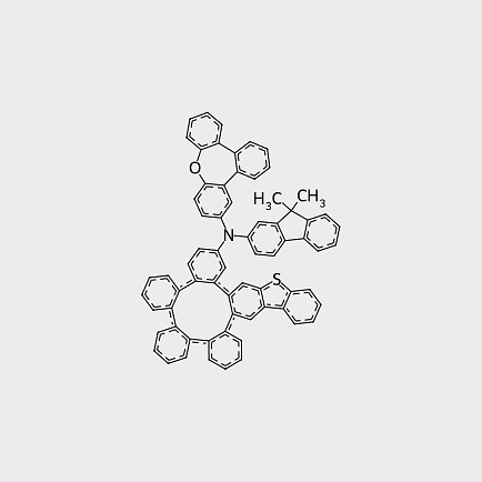 CC1(C)c2ccccc2-c2ccc(N(c3ccc4c(c3)-c3ccccc3-c3ccccc3O4)c3ccc4c5ccccc5c5ccccc5c5ccccc5c5cc6c(cc5c4c3)sc3ccccc36)cc21